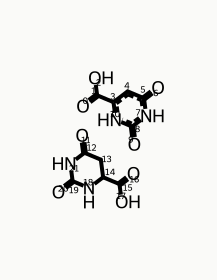 O=C(O)c1cc(=O)[nH]c(=O)[nH]1.O=C1CC(C(=O)O)NC(=O)N1